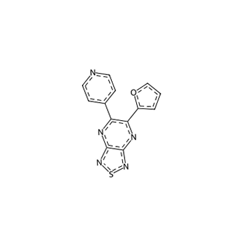 c1coc(-c2nc3nsnc3nc2-c2ccncc2)c1